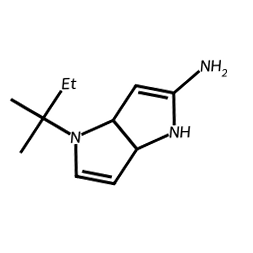 CCC(C)(C)N1C=CC2NC(N)=CC21